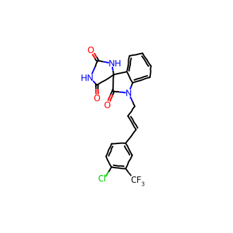 O=C1NC(=O)C2(N1)C(=O)N(C/C=C/c1ccc(Cl)c(C(F)(F)F)c1)c1ccccc12